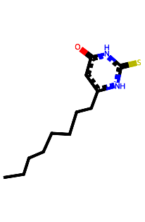 CCCCCCCCc1cc(=O)[nH]c(=S)[nH]1